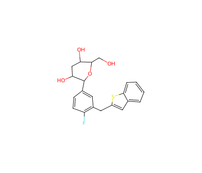 OCC1OC(c2ccc(F)c(Cc3cc4ccccc4s3)c2)C(O)CC1O